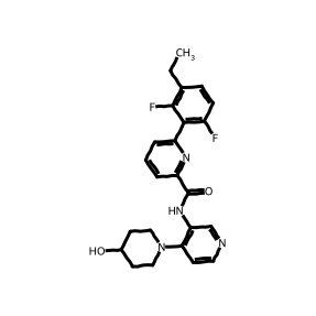 CCc1ccc(F)c(-c2cccc(C(=O)Nc3cnccc3N3CCC(O)CC3)n2)c1F